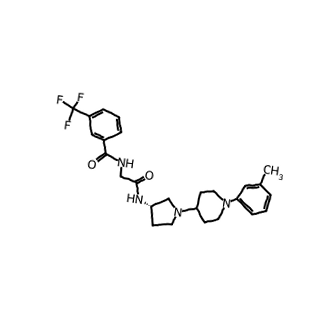 Cc1cccc(N2CCC(N3CC[C@H](NC(=O)CNC(=O)c4cccc(C(F)(F)F)c4)C3)CC2)c1